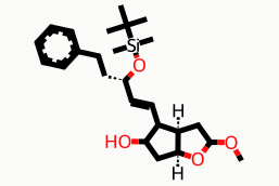 COC1C[C@@H]2C(/C=C/[C@H](CCc3ccccc3)O[Si](C)(C)C(C)(C)C)C(O)C[C@@H]2O1